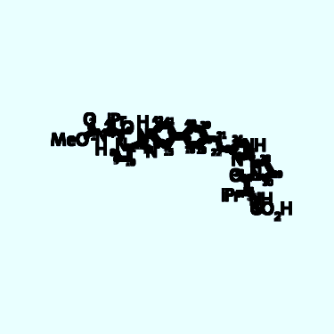 COC(=O)N[C@H](C(=O)N1CCCC1c1nc2cc(-c3ccc(CCc4c[nH]c([C@@H]5CCCN5C(=O)[C@@H](NC(=O)O)C(C)C)n4)cc3)ccc2[nH]1)C(C)C